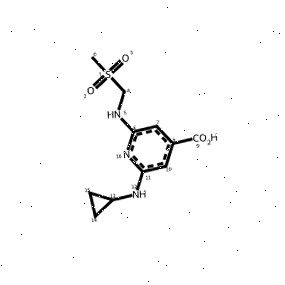 CS(=O)(=O)CNc1cc(C(=O)O)cc(NC2CC2)n1